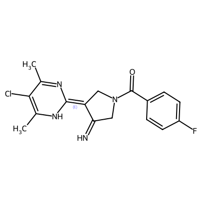 CC1=N/C(=C2\CN(C(=O)c3ccc(F)cc3)CC2=N)NC(C)=C1Cl